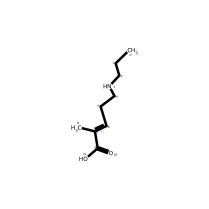 CCCNCC/C=C(\C)C(=O)O